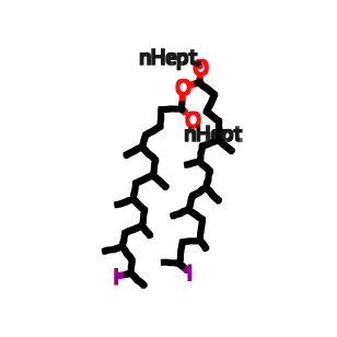 CCCCCCCOC(CCCC(C)CC(C)CC(C)CC(C)CC(C)CC(C)I)OC(CCCC(C)CC(C)CC(C)CC(C)CC(C)CC(C)I)OCCCCCCC